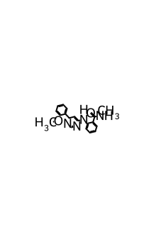 CNC(=O)c1ccccc1Nc1cc(-c2ccccc2OC)ncn1